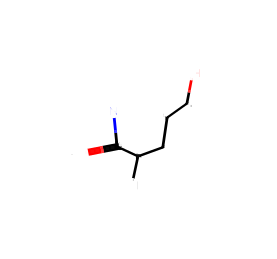 C[C](CCCO)C(N)=O